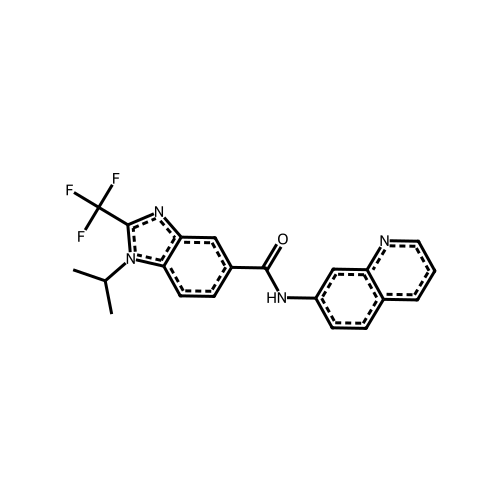 CC(C)n1c(C(F)(F)F)nc2cc(C(=O)Nc3ccc4cccnc4c3)ccc21